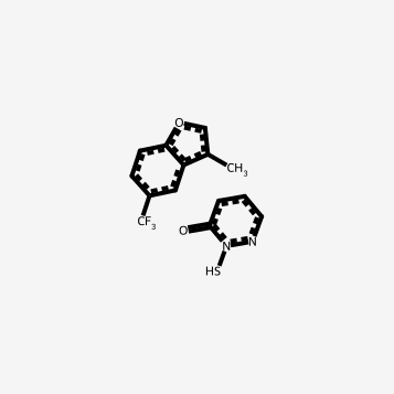 Cc1coc2ccc(C(F)(F)F)cc12.O=c1cccnn1S